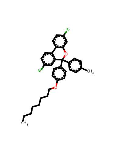 CCCCCCCCOc1ccc(C2(c3ccc(C)cc3)Oc3cc(Br)ccc3-c3ccc(Br)cc32)cc1